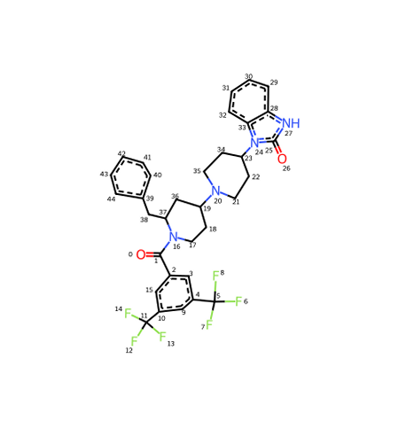 O=C(c1cc(C(F)(F)F)cc(C(F)(F)F)c1)N1CCC(N2CCC(n3c(=O)[nH]c4ccccc43)CC2)CC1Cc1ccccc1